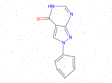 O=c1[nH]cnc2nn(-c3ccccc3)cc12